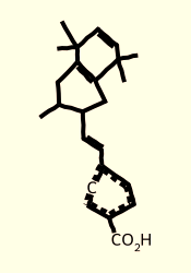 CC1CC2=C(CC1C=Cc1ccc(C(=O)O)cc1)C(C)(C)C=CC2(C)C